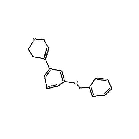 C1=C(c2cccc(OCc3ccccc3)c2)CC[N]C1